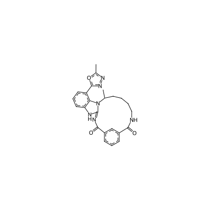 Cc1nnc(-c2cccc3c2N2/C(=N/C(=O)c4cccc(c4)C(=O)NCCCCC2C)N3)o1